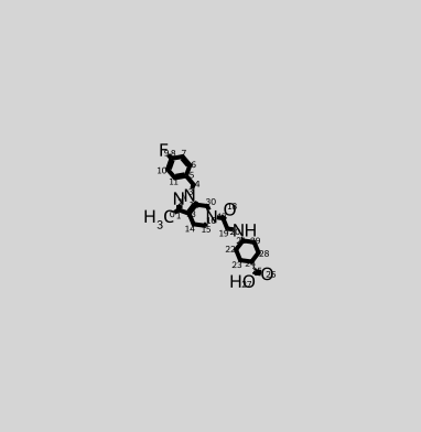 Cc1nn(Cc2ccc(F)cc2)c2c1CCN(C(=O)CN[C@H]1CC[C@@H](C(=O)O)CC1)C2